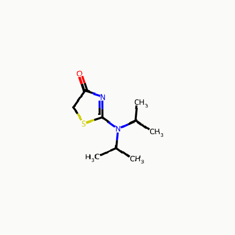 CC(C)N(C1=NC(=O)CS1)C(C)C